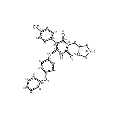 O=c1[nH]c(=Nc2ccc(Oc3ccccn3)cc2)n(-c2ccc(Cl)cc2)c(=O)n1CC1CNCO1